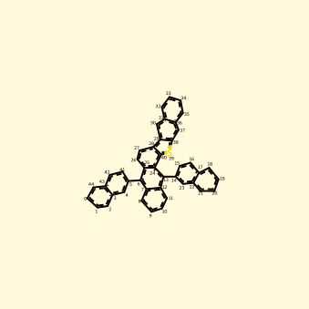 c1ccc2cc(-c3c4ccccc4c(-c4ccc5ccccc5c4)c4c3ccc3c5cc6ccccc6cc5sc34)ccc2c1